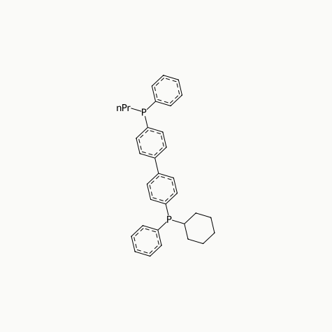 CCCP(c1ccccc1)c1ccc(-c2ccc(P(c3ccccc3)C3CCCCC3)cc2)cc1